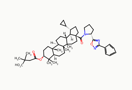 CC(C)(CC(=O)O[C@H]1CC[C@]2(C)[C@H]3CC[C@@H]4[C@H]5[C@H](C6CC6)CC[C@]5(C(=O)N5CCC[C@@H]5c5nc(-c6ccccc6)no5)CC[C@@]4(C)[C@]3(C)CC[C@H]2C1(C)C)C(=O)O